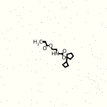 C=CC(=O)OCCNC(=O)OC1(C2CCC2)CCCC1